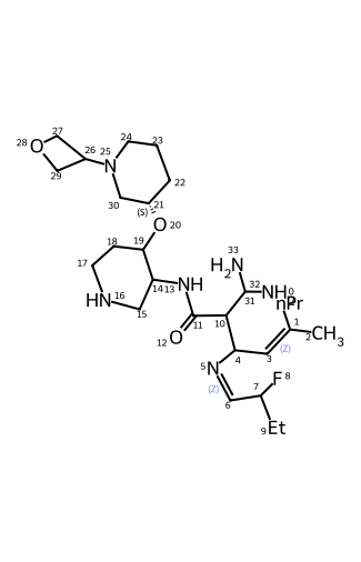 CCC/C(C)=C\C(/N=C\C(F)CC)C(C(=O)NC1CNCCC1O[C@H]1CCCN(C2COC2)C1)C(N)N